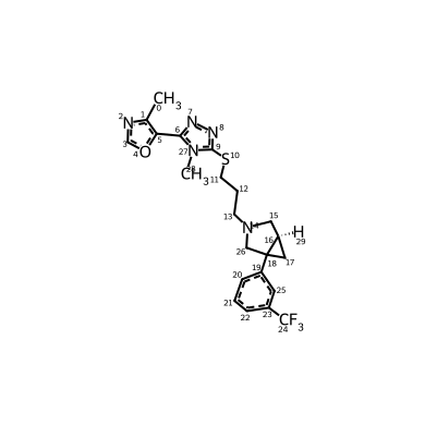 Cc1ncoc1-c1nnc(SCCCN2C[C@H]3CC3(c3cccc(C(F)(F)F)c3)C2)n1C